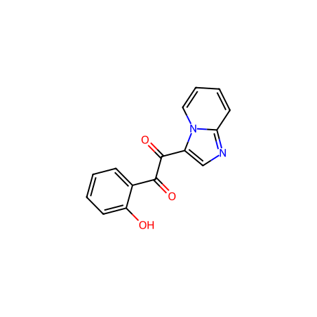 O=C(C(=O)c1cnc2ccccn12)c1ccccc1O